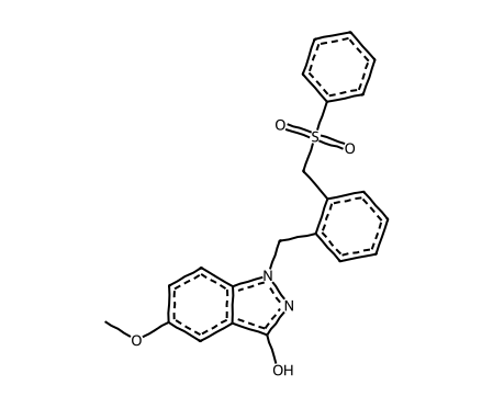 COc1ccc2c(c1)c(O)nn2Cc1ccccc1CS(=O)(=O)c1ccccc1